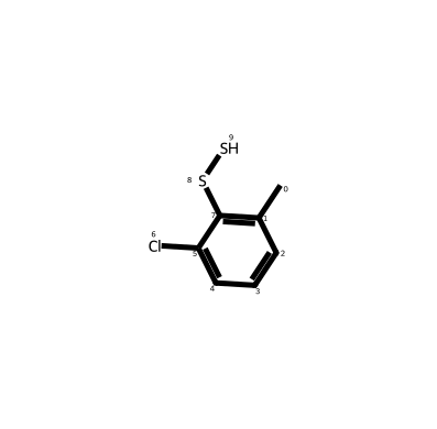 Cc1cccc(Cl)c1SS